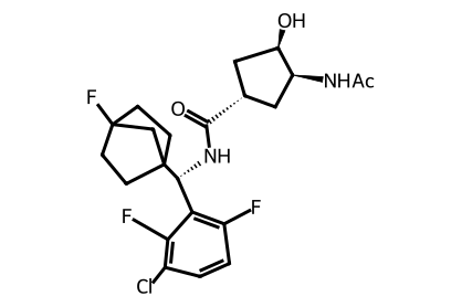 CC(=O)N[C@H]1C[C@H](C(=O)N[C@H](c2c(F)ccc(Cl)c2F)C23CCC(F)(CC2)C3)C[C@H]1O